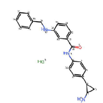 Cl.NC1CC1c1ccc(NC(=O)c2cccc(NCc3ccccc3)c2)cc1